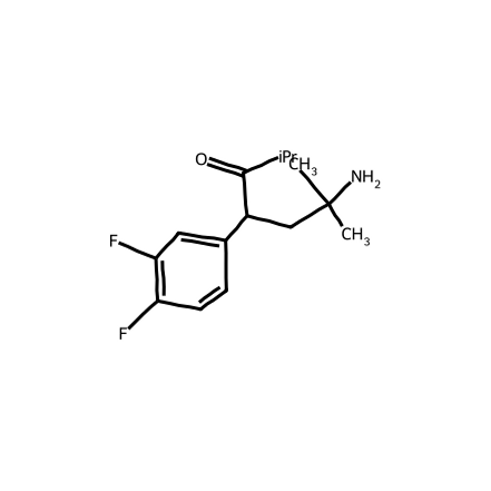 CC(C)C(=O)C(CC(C)(C)N)c1ccc(F)c(F)c1